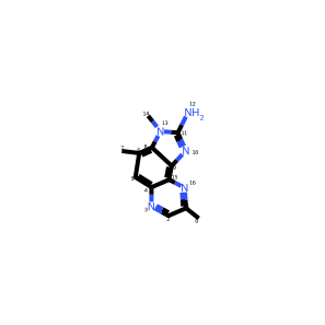 Cc1cnc2cc(C)c3c(nc(N)n3C)c2n1